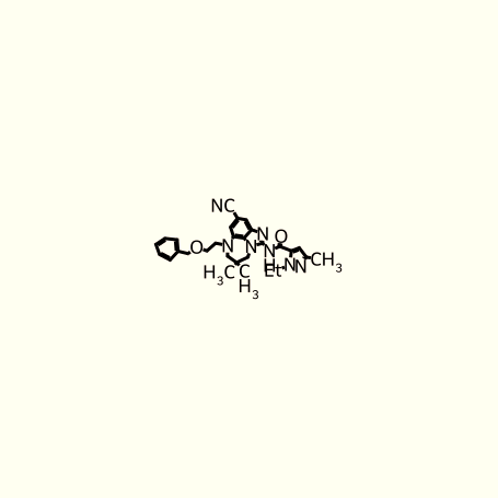 CCn1nc(C)cc1C(=O)Nc1nc2cc(C#N)cc3c2n1CC(C)(C)CN3CCOCc1ccccc1